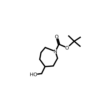 CC(C)(C)OC(=O)N1CCCC(CO)CC1